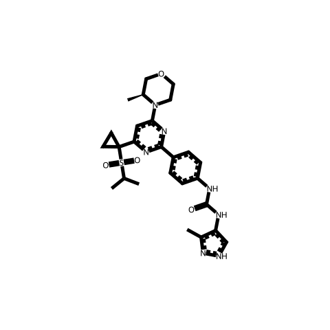 Cc1n[nH]cc1NC(=O)Nc1ccc(-c2nc(N3CCOC[C@@H]3C)cc(C3(S(=O)(=O)C(C)C)CC3)n2)cc1